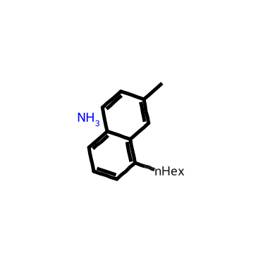 CCCCCCc1cccc2ccc(C)cc12.N